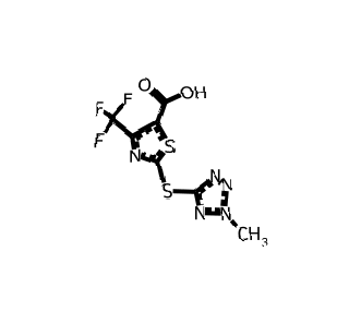 Cn1nnc(Sc2nc(C(F)(F)F)c(C(=O)O)s2)n1